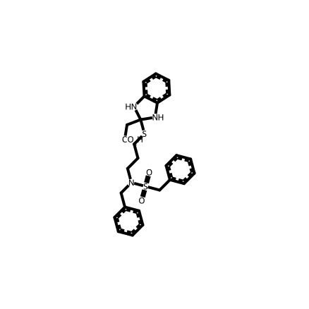 O=C(O)CC1(SCCCN(Cc2ccccc2)S(=O)(=O)Cc2ccccc2)Nc2ccccc2N1